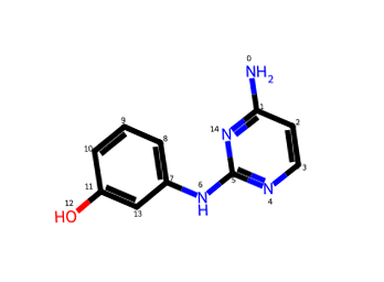 Nc1c[c]nc(Nc2cccc(O)c2)n1